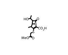 COC(=O)CSC1=C(C(=O)O)N2C(=O)C(C(C)O)C2C1C